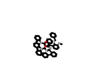 C=Nc1cccc(-c2ccc(-n3c4ccccc4c4ccc5c6ccccc6n(-c6nc(-c7ccccc7)nc(-c7ccccc7-c7ccccc7)n6)c5c43)cc2)c1OCc1ccccc1